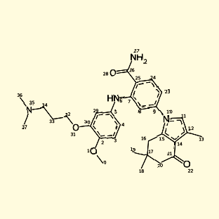 COc1ccc(Nc2cc(-n3cc(C)c4c3CC(C)(C)CC4=O)ccc2C(N)=O)cc1OCCCN(C)C